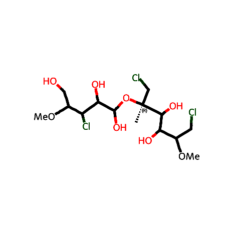 COC(CCl)C(O)C(O)[C@](C)(CCl)OC(O)C(O)C(Cl)C(CO)OC